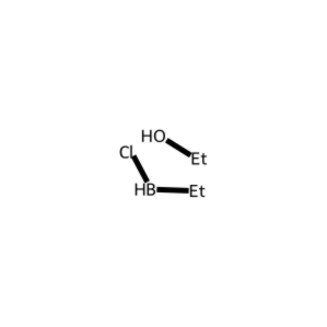 CCBCl.CCO